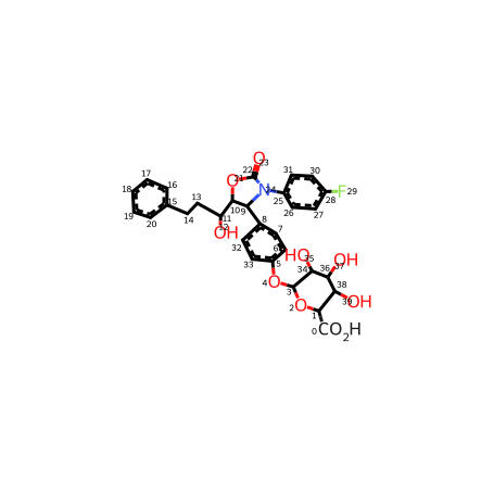 O=C(O)C1OC(Oc2ccc(C3C(C(O)CCc4ccccc4)OC(=O)N3c3ccc(F)cc3)cc2)C(O)C(O)C1O